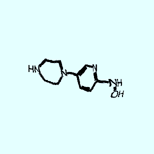 ONc1ccc(N2CCNCC2)cn1